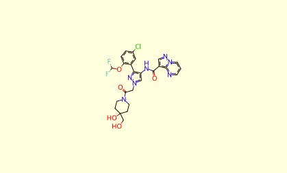 O=C(Nc1cn(CC(=O)N2CCC(O)(CO)CC2)nc1-c1cc(Cl)ccc1OC(F)F)c1cnn2cccnc12